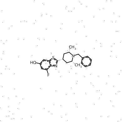 C[C@@H]1C[C@H](c2nc3c(F)cc(O)cc3s2)C[C@H](C)N1Cc1ccccc1